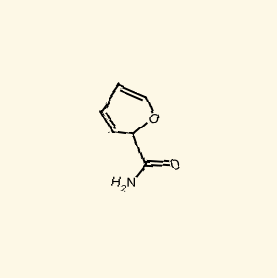 NC(=O)C1[C]=CC=CO1